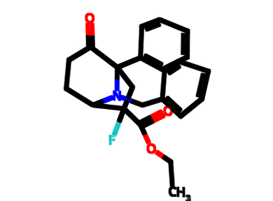 CCOC(=O)C1(F)CC2(c3ccccc3)C(=O)CCC1N2Cc1ccccc1